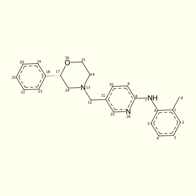 Cc1ccccc1Nc1ccc(CN2CCO[C@@H](c3ccccc3)C2)cn1